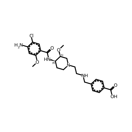 COc1cc(N)c(Cl)cc1C(=O)N[C@@H]1CCN(CCNCc2ccc(C(=O)O)cc2)C[C@@H]1OC